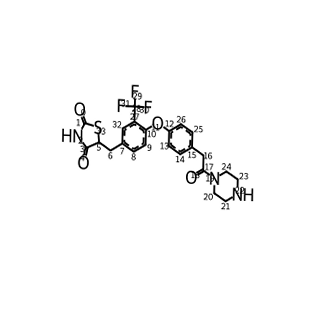 O=C1NC(=O)C(Cc2ccc(Oc3ccc(CC(=O)N4CCNCC4)cc3)c(C(F)(F)F)c2)S1